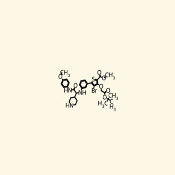 COC(=O)c1sc(-c2cccc(NC(C(=O)Nc3ccc(OC)cc3)C3CCNCC3)c2)c(Br)c1OCC(=O)OC(C)(C)C